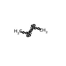 C=Cc1ccc(-c2ccc(N(c3cc4cc5sc(N(c6ccc(-c7ccc(C=C)cc7)cc6)c6cccc7ccccc67)cc5cc4s3)c3cccc4ccccc34)cc2)cc1